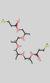 CC(COC(=O)CCS)OCC(C)OCC(C)OCC(C)OC(=O)CCS